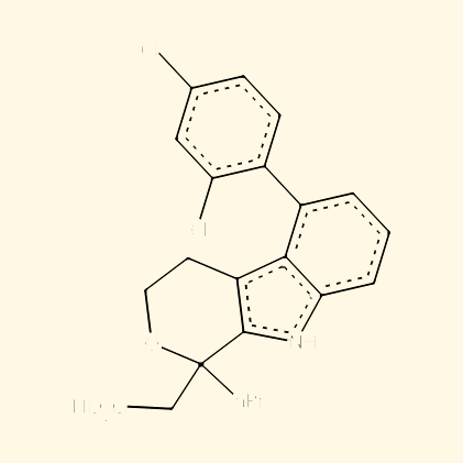 CCCC1(CC(=O)O)OCCc2c1[nH]c1cccc(-c3ccc(Cl)cc3Cl)c21